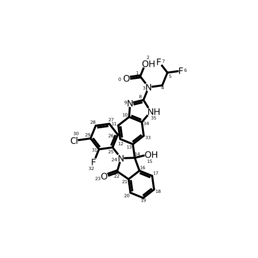 O=C(O)N(CC(F)F)c1nc2ccc(C3(O)c4ccccc4C(=O)N3c3cccc(Cl)c3F)cc2[nH]1